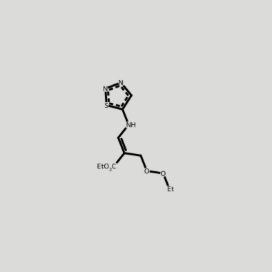 CCOOC/C(=C\Nc1cnns1)C(=O)OCC